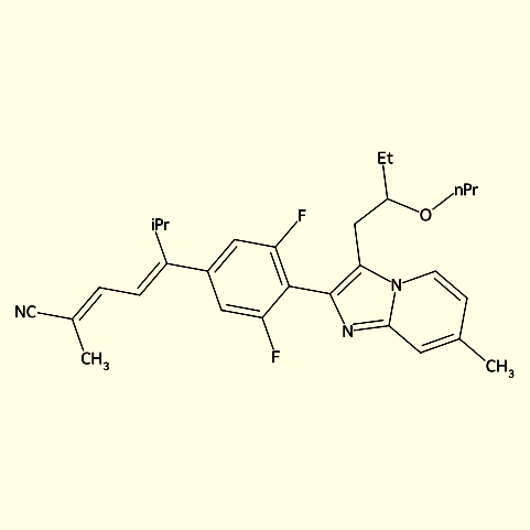 CCCOC(CC)Cc1c(-c2c(F)cc(/C(=C/C=C(\C)C#N)C(C)C)cc2F)nc2cc(C)ccn12